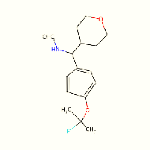 CC(C)(F)Oc1ccc(C(NC=O)C2CCOCC2)cc1